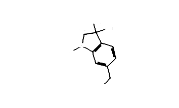 CCCCN1c2cc(CO)ccc2C(C)(C)[C@H]1C